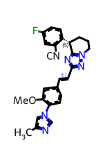 COc1cc(/C=C/c2nc3n(n2)CCC[C@H]3c2ccc(F)cc2C#N)ccc1-n1cnc(C)c1